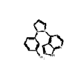 FC(F)(F)c1cccc(N2CC=CN2c2ccnc3[nH]ccc23)c1